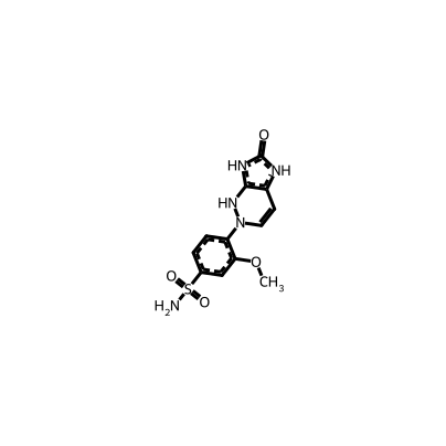 COc1cc(S(N)(=O)=O)ccc1N1C=Cc2[nH]c(=O)[nH]c2N1